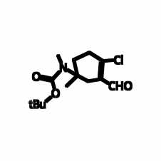 CN(C(=O)OC(C)(C)C)C1(C)CCC(Cl)=C(C=O)C1